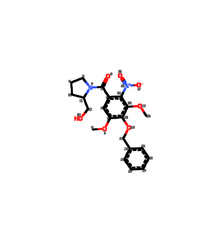 COc1cc(C(=O)N2CCCC2CO)c([N+](=O)[O-])c(OC)c1OCc1ccccc1